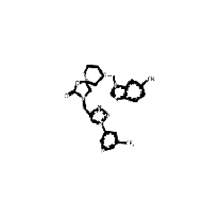 N#Cc1ccc2ncn(C[C@H]3CCC[C@]4(C3)CN(Cc3cn(-c5cncc(C(F)(F)F)c5)nn3)C(=O)O4)c2c1